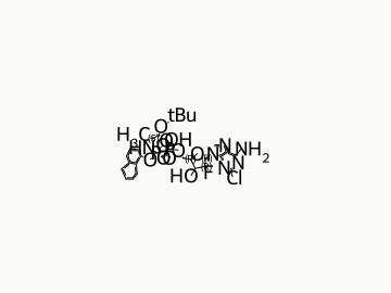 C[C@H](NP(=O)(Oc1cccc2ccccc12)OP(=O)(O)OC[C@H]1O[C@@H](n2cnc3c(N)nc(Cl)nc32)[C@H](F)C1O)C(=O)OCC(C)(C)C